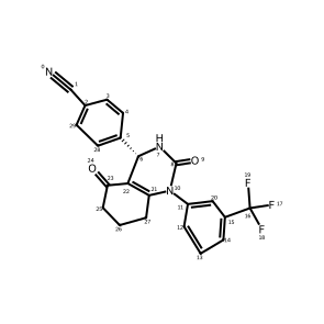 N#Cc1ccc([C@@H]2NC(=O)N(c3cccc(C(F)(F)F)c3)C3=C2C(=O)CCC3)cc1